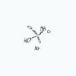 O=S(=O)(O)O.[Cr].[Na]